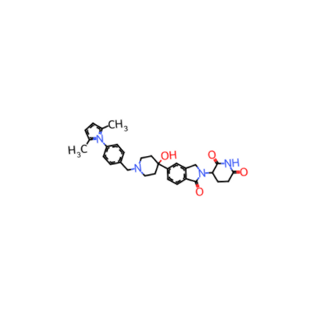 Cc1ccc(C)n1-c1ccc(CN2CCC(O)(c3ccc4c(c3)CN(C3CCC(=O)NC3=O)C4=O)CC2)cc1